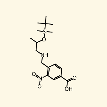 CC(CNCc1ccc(C(=O)O)cc1[N+](=O)[O-])O[Si](C)(C)C(C)(C)C